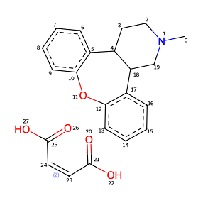 CN1CCC2c3ccccc3Oc3ccccc3C2C1.O=C(O)/C=C\C(=O)O